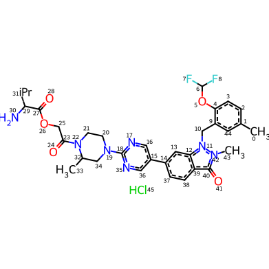 Cc1ccc(OC(F)F)c(Cn2c3cc(-c4cnc(N5CCN(C(=O)COC(=O)C(N)C(C)C)C(C)C5)nc4)ccc3c(=O)n2C)c1.Cl